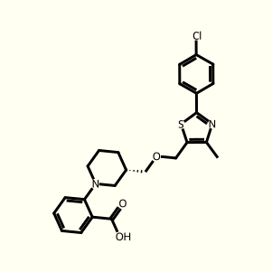 Cc1nc(-c2ccc(Cl)cc2)sc1COC[C@H]1CCCN(c2ccccc2C(=O)O)C1